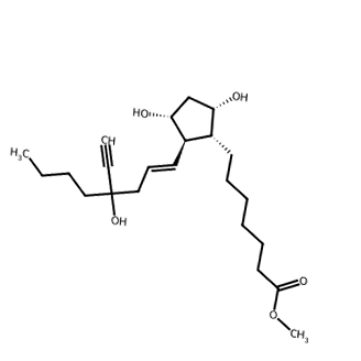 C#CC(O)(CC=C[C@@H]1[C@@H](CCCCCCC(=O)OC)[C@@H](O)C[C@H]1O)CCCC